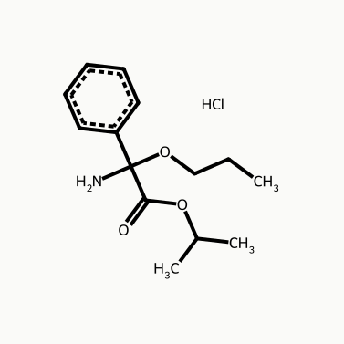 CCCOC(N)(C(=O)OC(C)C)c1ccccc1.Cl